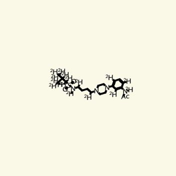 [2H]c1cc([2H])c(N([2H])C(C)=O)c([2H])c1N1CCN(C([2H])CCC([2H])N([2H])S(=O)(=O)C([2H])([2H])C([2H])(C([2H])([2H])[2H])C([2H])([2H])[2H])CC1